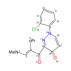 CCC/C(=C\NC)C(=O)c1nn(-c2ccccc2Cl)ccc1=O